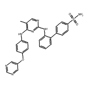 Cc1cnc(Nc2ccccc2-c2ccc(S(N)(=O)=O)cc2)nc1Nc1ccc(Oc2cncnc2)cc1